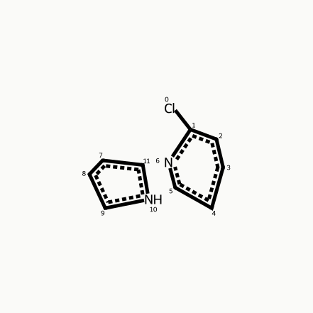 Clc1ccccn1.c1cc[nH]c1